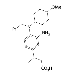 COC1CCC(N(CC(C)C)c2ccc(C(C)CC(=O)O)cc2N)CC1